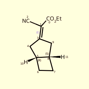 CCOC(=O)/C(C#N)=C1/C[C@H]2CC[C@H]2C1